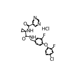 Cl.O=C(NC1(C(=O)NCc2ccc(Oc3ccc(Cl)cc3F)c(F)c2)CC1)c1cncnc1